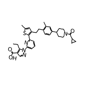 CCc1c(C(=O)O)cnn1-c1cccc(-c2sc(C)cc2CCc2ccc(C3CCN(C(=O)C4CC4)CC3)cc2C)n1